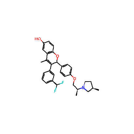 CC1=C(c2cccc(C(F)F)c2)C(c2ccc(OC[C@H](C)N3CC[C@@H](C)C3)cc2)Oc2ccc(O)cc21